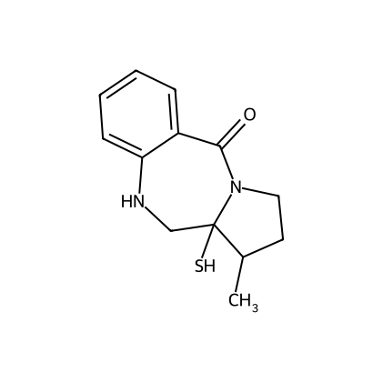 CC1CCN2C(=O)c3ccccc3NCC12S